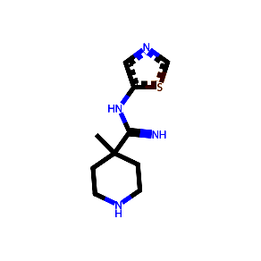 CC1(C(=N)Nc2cncs2)CCNCC1